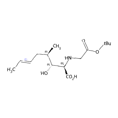 C/C=C/C[C@@H](C)[C@@H](O)[C@@H](NCC(=O)OC(C)(C)C)C(=O)O